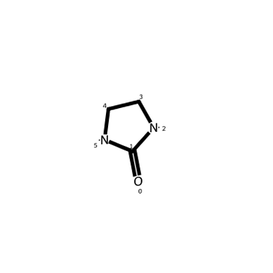 O=C1[N]CC[N]1